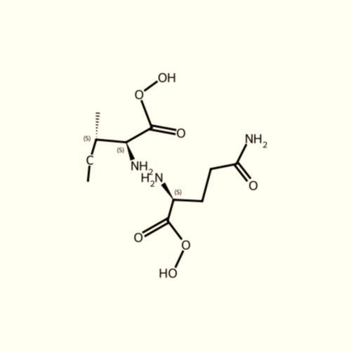 CC[C@H](C)[C@H](N)C(=O)OO.NC(=O)CC[C@H](N)C(=O)OO